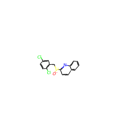 [O-][S+](Cc1cc(Cl)ccc1Cl)c1ccc2ccccc2n1